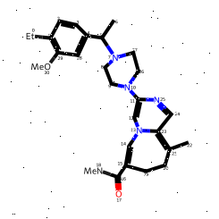 CCc1ccc(C(C)N2CCN(C3=CN4C=C(C(=O)NC)CCC(C)=C4C=N3)CC2)cc1OC